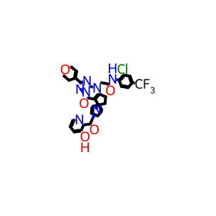 O=C(Cn1c2c(c(=O)n3nc(C4=CCOCC4)nc13)C1(CC2)C2CCC1CN(C(=O)c1ncccc1O)C2)Nc1ccc(C(F)(F)F)cc1Cl